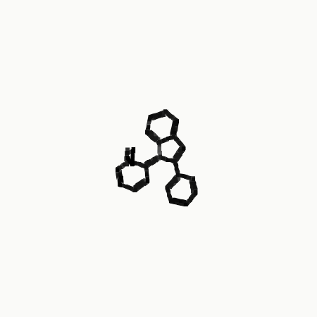 C1=CNC(=C2C(c3ccccc3)=Cc3ccccc32)C=C1